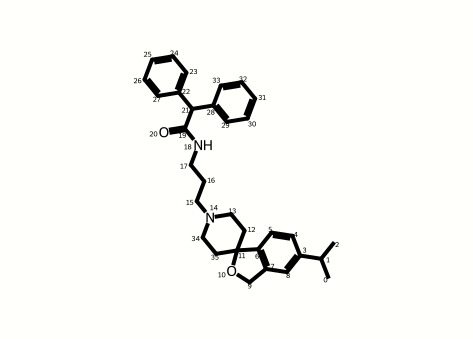 CC(C)c1ccc2c(c1)COC21CCN(CCCNC(=O)C(c2ccccc2)c2ccccc2)CC1